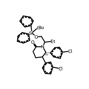 CCC(CO[Si](c1ccccc1)(c1ccccc1)C(C)(C)C)N1C(=O)CCC(c2cccc(Cl)c2)[C@H]1c1ccc(Cl)cc1